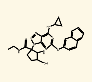 CCNC(=O)C1(n2nnc3c(NC4CC4)nc(Sc4ccc5ccccc5c4)nc32)CCC(O)C1O